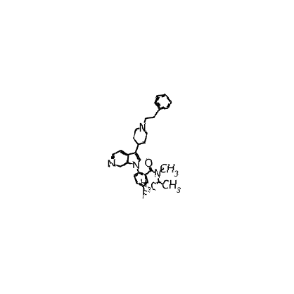 CC(C)N(C)C(=O)c1cc(F)ccc1N1C=C(C2CCN(CCc3ccccc3)CC2)C2=CC=NCC21